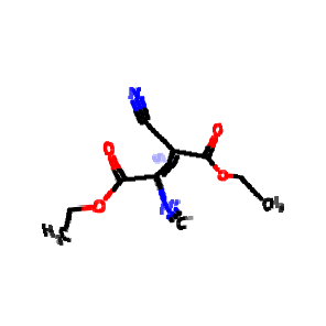 [C-]#[N+]/C(C(=O)OCC)=C(/C#N)C(=O)OCC